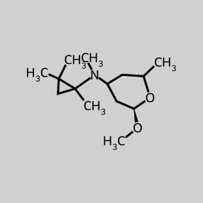 CO[C@H]1CC(N(C)C2(C)CC2(C)C)CC(C)O1